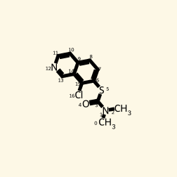 CN(C)C(=O)Sc1ccc2ccncc2c1Cl